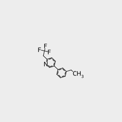 CCc1cccc(-c2ccc(CC(F)(F)F)nc2)c1